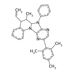 C=CC1c2ccccc2N2c3nc(-c4c(C)cc(C)cc4C)cnc3N(c3ccccc3)C2C1C